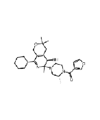 C[C@@H]1CN(C2(C)N=C(C3CCCCC3)C3=C(CC(C)(C)OC3)C2=N)CCN1C(=O)c1ccoc1